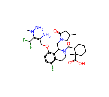 C[C@@H]1CC(=O)N(C[C@@H]2c3c(OC/C(N)=C(\C(F)F)N(C)N)ccc(Cl)c3CCN2C(=O)[C@H]2CCCC[C@]2(C)C(=O)O)C1